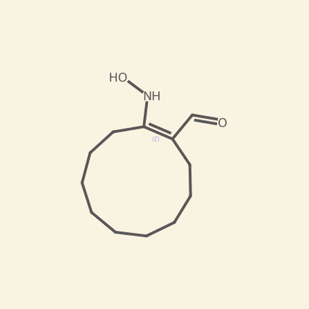 O=C/C1=C(\NO)CCCCCCCCC1